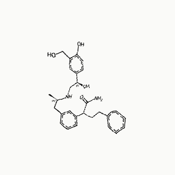 C[C@H](Cc1cccc(C(CCc2ccccc2)C(N)=O)c1)NC[C@H](O)c1ccc(O)c(CO)c1